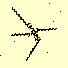 CCCCCCCCCCCCCCc1csc(-c2cc3c(OCCCCCCCCCCCC)c4sc(-c5nc(CCCCCCCCCCCCCC)cs5)cc4c(OCCCCCCCCCCCC)c3s2)n1